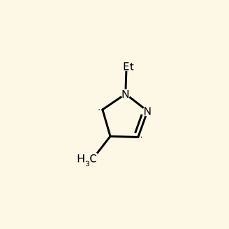 CCN1[CH]C(C)[C]=N1